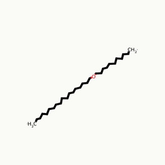 [CH2]CCCCCCCCCCCCCCCCCOCCCCCCCCCC[CH2]